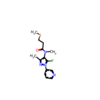 CSCCC(=O)N(C)c1c(C)nn(-c2cccnc2)c1F